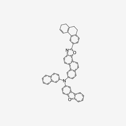 C1=CC2=C(CC1)CCc1ccc(-c3nc4ccc5c6cc(N(c7ccc8ccccc8c7)c7ccc8oc9ccccc9c8c7)ccc6ccc5c4o3)cc12